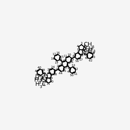 CC1(C)CCC2c3cc(-c4ccc5c(-c6ccccc6)c6cc(-c7ccc8c(c7)C7CCC(C)(C)C7(C)N8c7ccccc7)ccc6c(-c6ccccc6)c5c4)ccc3N(c3ccccc3)C21C